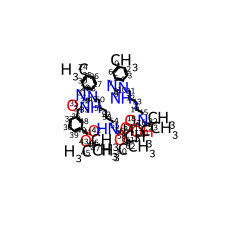 Cc1ccc2c(c1)nc(N)n2CCCCCN(C(=O)O)C(C)(C)C.Cc1ccc2c(c1)nc(NC(=O)c1cccc(C(=O)OC(C)(C)C)c1)n2CCCCCNC(=O)OC(C)(C)C